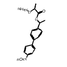 CCCCCCCCc1ccc(-c2ccc(C(C)OC(=O)C(C)OCCCCCC)cc2)cc1